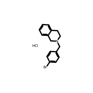 Brc1ccc(CN2CCc3ccccc3C2)cc1.Cl